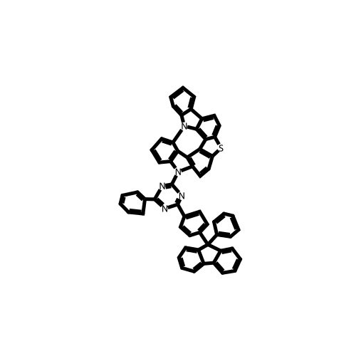 c1ccc(-c2nc(-c3ccc(C4(c5ccccc5)c5ccccc5-c5ccccc54)cc3)nc(-n3c4ccc5sc6ccc7c8ccccc8n8c9cccc3c9c4c5c6c78)n2)cc1